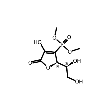 COP(=O)(OC)C1=C(O)C(=O)O[C@@H]1[C@@H](O)CO